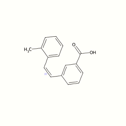 Cc1ccccc1/C=C\c1cccc(C(=O)O)c1